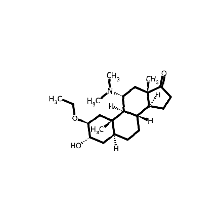 CCO[C@H]1C[C@@]2(C)[C@@H](CC[C@@H]3[C@@H]2[C@H](N(C)C)C[C@]2(C)C(=O)CC[C@@H]32)C[C@@H]1O